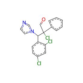 O=CC(Cl)(c1ccccc1)C(c1ccc(Cl)cc1Cl)n1ccnc1